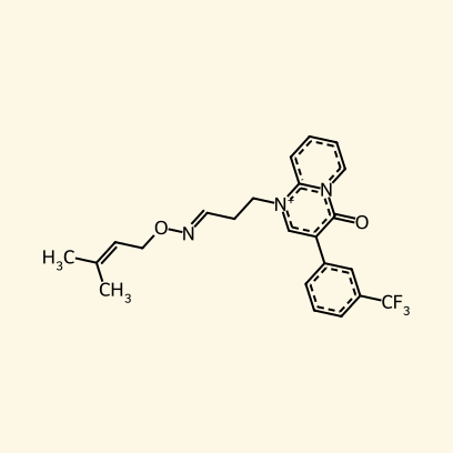 CC(C)=CCON=CCC[n+]1cc(-c2cccc(C(F)(F)F)c2)c(=O)n2ccccc21